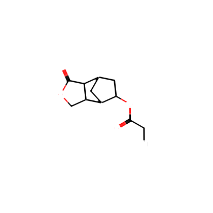 CCC(=O)OC1CC2CC1C1COC(=O)C21